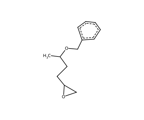 CC(CCC1CO1)OCc1ccccc1